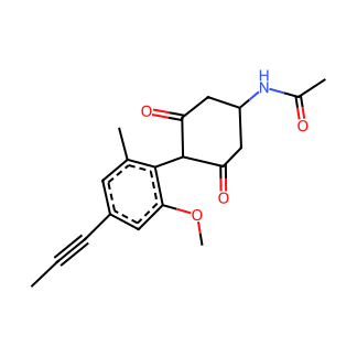 CC#Cc1cc(C)c(C2C(=O)CC(NC(C)=O)CC2=O)c(OC)c1